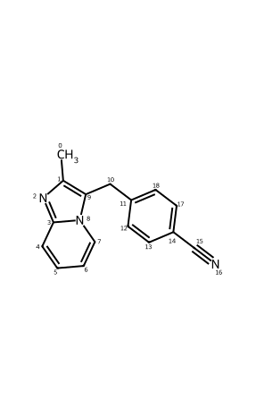 Cc1nc2ccccn2c1Cc1ccc(C#N)cc1